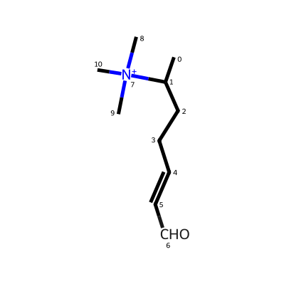 CC(CCC=CC=O)[N+](C)(C)C